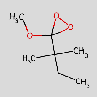 CCC(C)(C)C1(OC)OO1